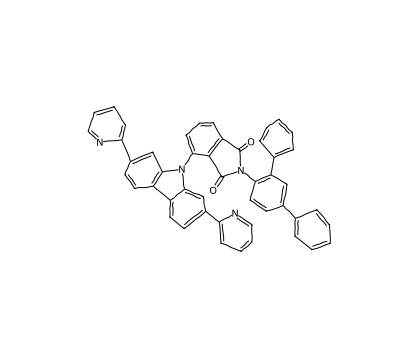 O=C1c2cccc(-n3c4cc(-c5ccccn5)ccc4c4ccc(-c5ccccn5)cc43)c2C(=O)N1c1ccc(-c2ccccc2)cc1-c1ccccc1